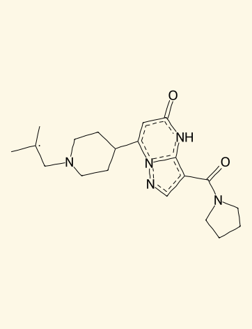 C[C](C)CN1CCC(c2cc(=O)[nH]c3c(C(=O)N4CCCC4)cnn23)CC1